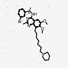 COc1cc2c(N[C@H](C)c3cccc(Br)c3)nc(C)nc2c(CCCCCCCN2CCCCC2)c1OC